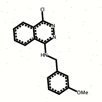 COc1cccc(CNc2nnc(Cl)c3ccccc23)c1